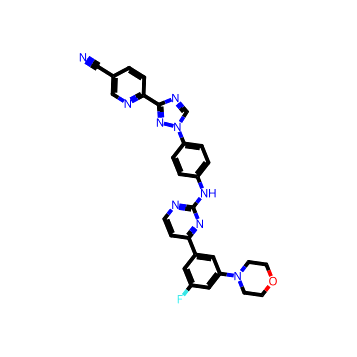 N#Cc1ccc(-c2ncn(-c3ccc(Nc4nccc(-c5cc(F)cc(N6CCOCC6)c5)n4)cc3)n2)nc1